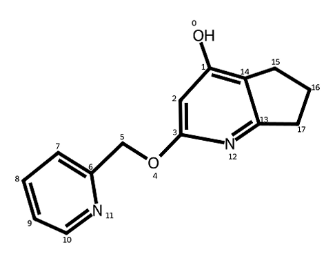 Oc1cc(OCc2ccccn2)nc2c1CCC2